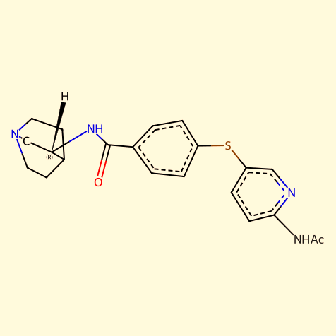 CC(=O)Nc1ccc(Sc2ccc(C(=O)N[C@H]3CN4CCC3CC4)cc2)cn1